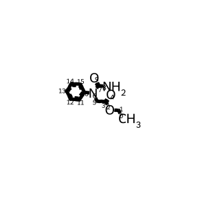 CCOC(=O)CN(C(N)=O)c1ccccc1